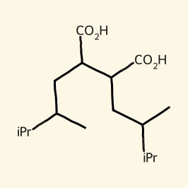 CC(C)C(C)CC(C(=O)O)C(CC(C)C(C)C)C(=O)O